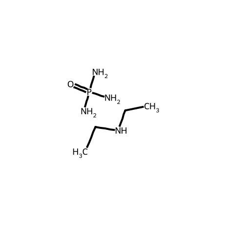 CCNCC.NP(N)(N)=O